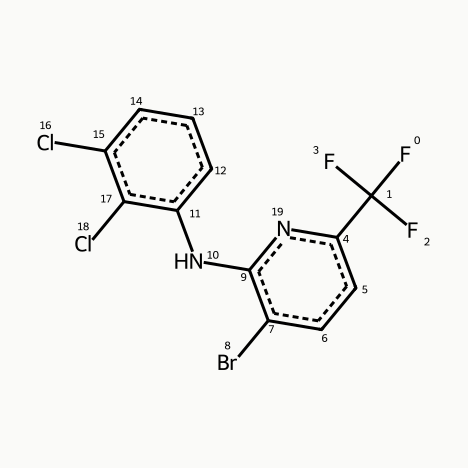 FC(F)(F)c1ccc(Br)c(Nc2cccc(Cl)c2Cl)n1